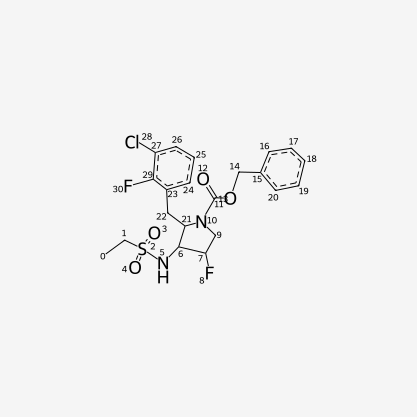 CCS(=O)(=O)NC1C(F)CN(C(=O)OCc2ccccc2)C1Cc1cccc(Cl)c1F